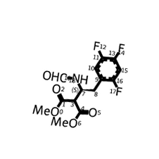 COC(=O)C(C(=O)OC)[C@H](Cc1cc(F)c(F)cc1F)NC=O